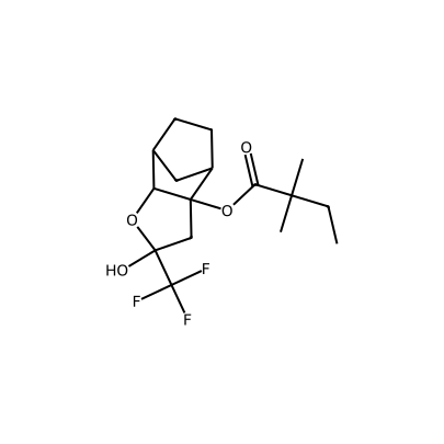 CCC(C)(C)C(=O)OC12CC(O)(C(F)(F)F)OC1C1CCC2C1